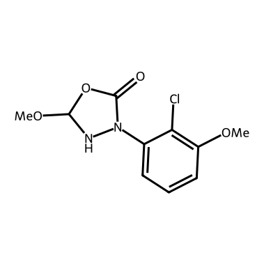 COc1cccc(N2NC(OC)OC2=O)c1Cl